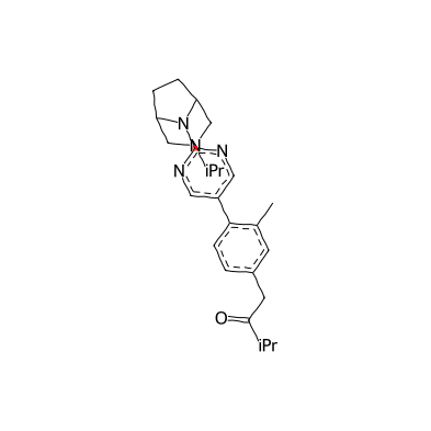 Cc1cc(CC(=O)C(C)C)ccc1-c1cnc(N2C3CCC2CN(C(C)C)C3)nc1